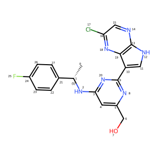 C[C@H](Nc1cc(CO)nc(-c2c[nH]c3ncc(Cl)nc23)n1)c1ccc(F)cc1